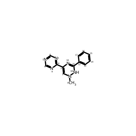 CN1C=C(c2ncncn2)N=C(c2ccccc2)N1